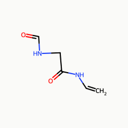 C=CNC(=O)CNC=O